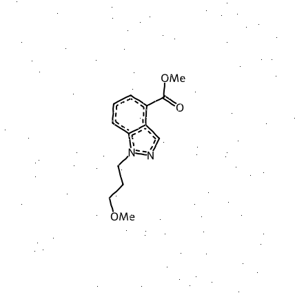 COCCCn1ncc2c(C(=O)OC)cccc21